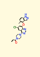 C=CC(=O)N1CCN(c2ncnc3c(Oc4c(C)ccc5[nH]ncc45)cc(Cl)cc23)CC1